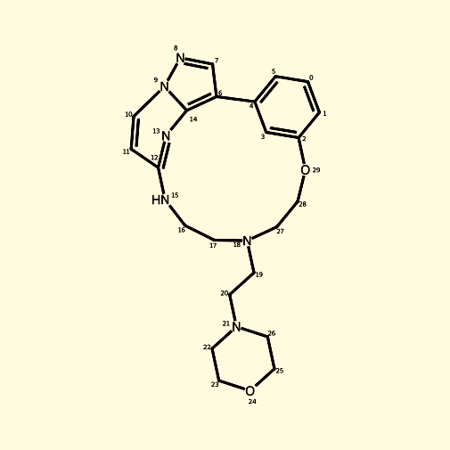 c1cc2cc(c1)-c1cnn3ccc(nc13)NCCN(CCN1CCOCC1)CCO2